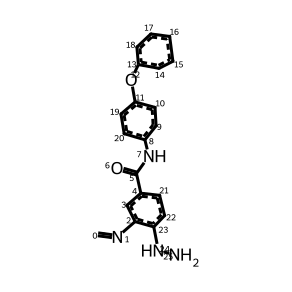 C=Nc1cc(C(=O)Nc2ccc(Oc3ccccc3)cc2)ccc1NN